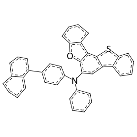 c1ccc(N(c2ccc(-c3cccc4ccccc34)cc2)c2cc3c4ccccc4sc3c3c2oc2ccccc23)cc1